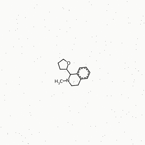 CN1CCc2ccccc2C1C1CCCO1